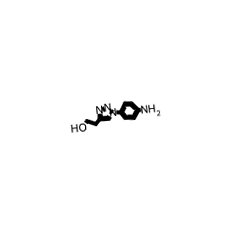 Nc1ccc(-n2cc(CCO)nn2)cc1